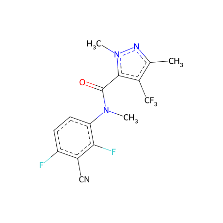 Cc1nn(C)c(C(=O)N(C)c2ccc(F)c(C#N)c2F)c1C(F)(F)F